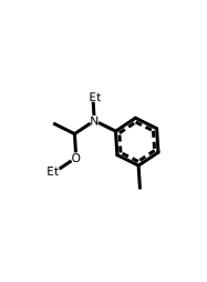 CCOC(C)N(CC)c1cccc(C)c1